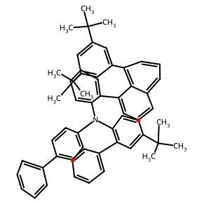 CC(C)(C)c1cc(-c2cccc3cccc(-c4ccccc4N(c4ccc(-c5ccccc5)cc4)c4ccc(C(C)(C)C)cc4-c4ccccc4)c23)cc(C(C)(C)C)c1